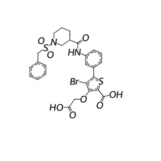 O=C(O)COc1c(C(=O)O)sc(-c2cccc(NC(=O)C3CCCN(S(=O)(=O)Cc4ccccc4)C3)c2)c1Br